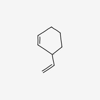 C=C[C]1C=CCCC1